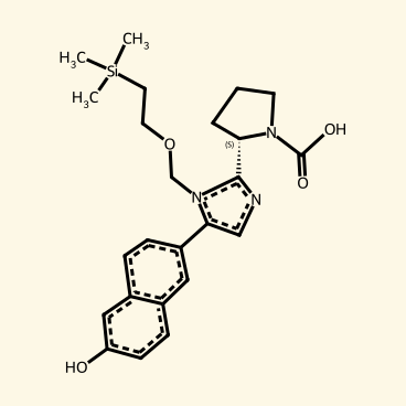 C[Si](C)(C)CCOCn1c(-c2ccc3cc(O)ccc3c2)cnc1[C@@H]1CCCN1C(=O)O